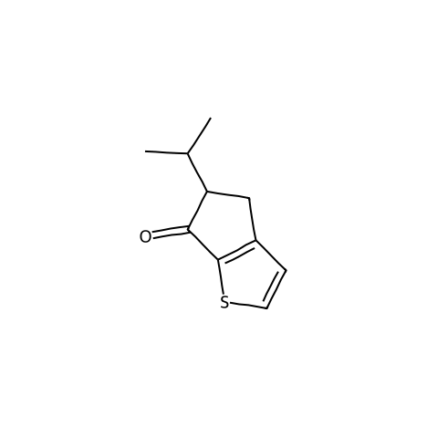 CC(C)C1Cc2ccsc2C1=O